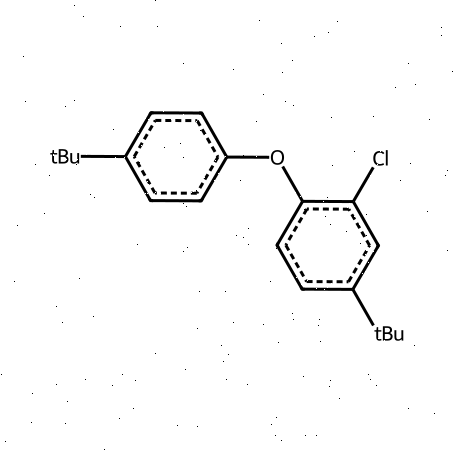 CC(C)(C)c1ccc(Oc2ccc(C(C)(C)C)cc2Cl)cc1